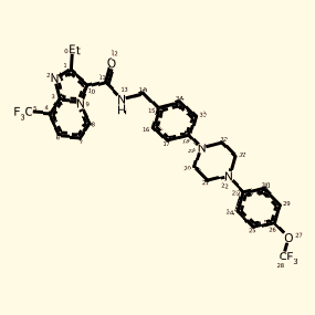 CCc1nc2c(C(F)(F)F)cccn2c1C(=O)NCc1ccc(N2CCN(c3ccc(OC(F)(F)F)cc3)CC2)cc1